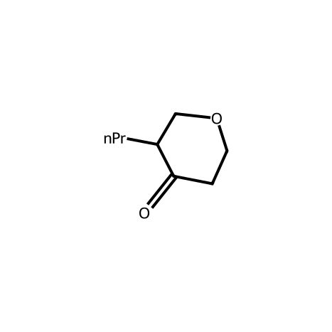 CCCC1COCCC1=O